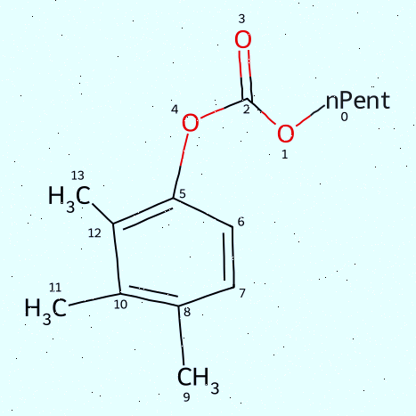 CCCCCOC(=O)Oc1ccc(C)c(C)c1C